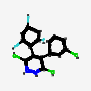 Fc1cc(F)c(-c2c(Cl)nnc(Cl)c2-c2cccc(Cl)c2)c(F)c1